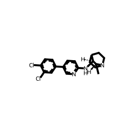 C[C@@H]1[C@@H](Nc2ccc(-c3ccc(Cl)c(Cl)c3)cn2)C2CCN1CC2